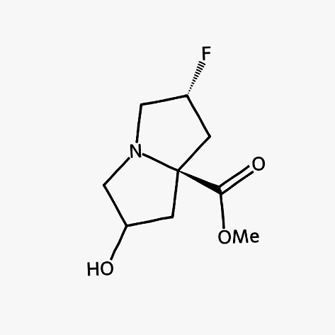 COC(=O)[C@@]12CC(O)CN1C[C@H](F)C2